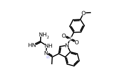 COc1ccc(S(=O)(=O)n2cc(/C(C)=N\NC(=N)N)c3ccccc32)cc1